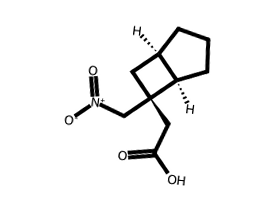 O=C(O)C[C@@]1(C[N+](=O)[O-])C[C@H]2CCC[C@H]21